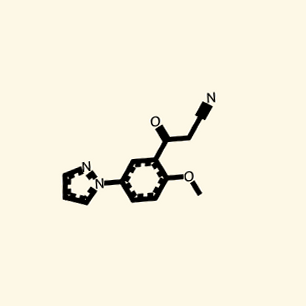 COc1ccc(-n2cccn2)cc1C(=O)CC#N